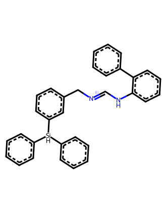 C(=N\Cc1cccc([SiH](c2ccccc2)c2ccccc2)c1)/Nc1ccccc1-c1ccccc1